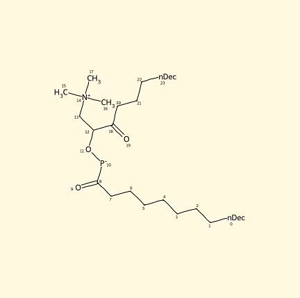 CCCCCCCCCCCCCCCCCC(=O)[P-]OC(C[N+](C)(C)C)C(=O)CCCCCCCCCCCCC